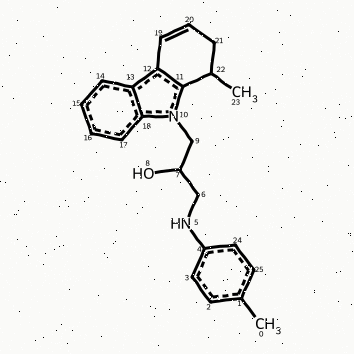 Cc1ccc(NCC(O)Cn2c3c(c4ccccc42)C=CCC3C)cc1